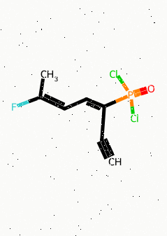 C#C/C(=C\C=C(/C)F)P(=O)(Cl)Cl